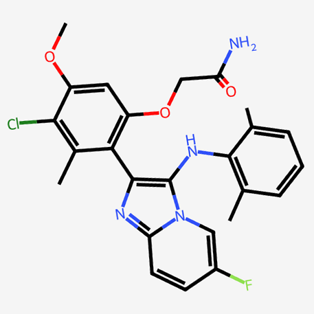 COc1cc(OCC(N)=O)c(-c2nc3ccc(F)cn3c2Nc2c(C)cccc2C)c(C)c1Cl